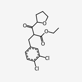 CCOC(=O)C(Cc1ccc(Cl)c(Cl)c1)C(=O)C1CCCO1